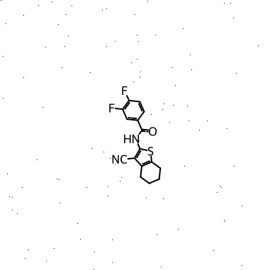 N#Cc1c(NC(=O)c2ccc(F)c(F)c2)sc2c1CCCC2